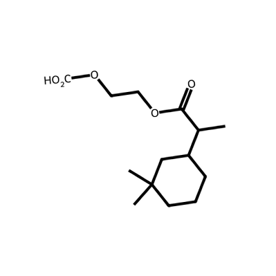 CC(C(=O)OCCOC(=O)O)C1CCCC(C)(C)C1